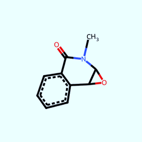 CN1C(=O)c2ccccc2C2OC21